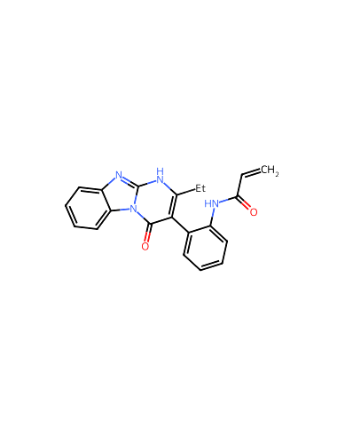 C=CC(=O)Nc1ccccc1-c1c(CC)[nH]c2nc3ccccc3n2c1=O